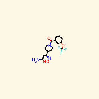 C/C(N)=C\C(=N/O)C1CCN(C(=O)C2=CC(OC(F)(F)F)CC=C2)CC1